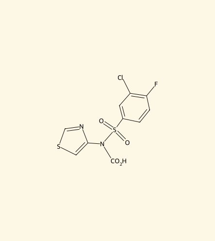 O=C(O)N(c1cscn1)S(=O)(=O)c1ccc(F)c(Cl)c1